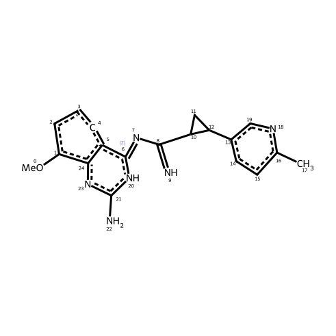 COc1cccc2/c(=N/C(=N)C3CC3c3ccc(C)nc3)[nH]c(N)nc12